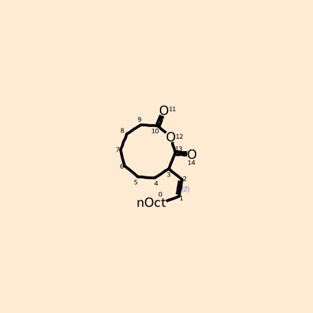 CCCCCCCC/C=C\C1CCCCCCC(=O)OC1=O